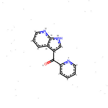 O=C(c1ccccn1)c1c[nH]c2ncccc12